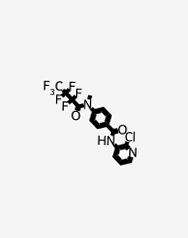 CN(C(=O)C(F)(F)C(F)(F)C(F)(F)F)c1ccc(C(=O)Nc2cccnc2Cl)cc1